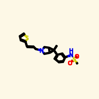 CC1(c2cccc(NS(C)(=O)=O)c2)C2CN(CC=Cc3cccs3)CC21